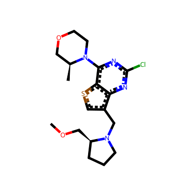 COC[C@@H]1CCCN1Cc1csc2c(N3CCOC[C@@H]3C)nc(Cl)nc12